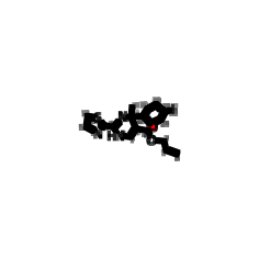 C=CCOC(=O)C1=CNC(c2nccs2)=NC1(C)c1ccc(F)cc1